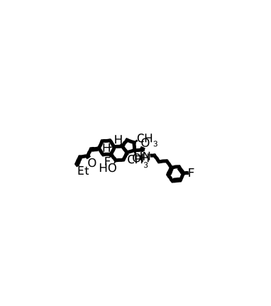 CC/C=C\C(=O)/C=C1/CC[C@H]2[C@@H]3C[C@@H](C)[C@](O)(C(=O)NCCCc4cccc(F)c4)[C@@]3(C)C[C@H](O)[C@]2(F)C1